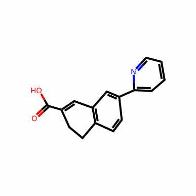 O=C(O)C1=Cc2cc(-c3ccccn3)ccc2CC1